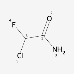 NC(=O)C(F)Cl